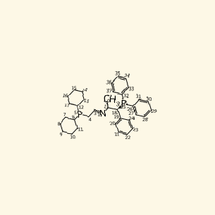 C[C@H](/N=C/CP(C1CCCCC1)C1CCCCC1)[C@H](c1ccccc1)P(c1ccccc1)c1ccccc1